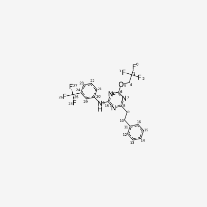 FC(F)(F)COc1nc(CCc2ccccc2)nc(Nc2cccc(C(F)(F)F)c2)n1